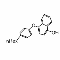 CCCCCCc1ccc(Oc2ccc(O)c3ccccc23)cc1